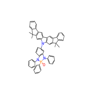 CC1(C)c2ccccc2-c2cc3c4cc5c(cc4n(-c4ccc6c(c4)N(c4ccccc4)P(=O)(c4ccccc4)N6c4ccccc4)c3cc21)C(C)(C)c1ccccc1-5